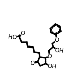 O=C(O)CCC=CCCC1C(=O)CC(O)C1OCC(O)COc1ccccc1